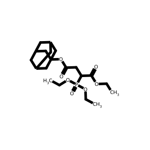 CCOC(=O)C(CC(=O)OC12CC3CC(CC(C3)C1)C2)P(=O)(OCC)OCC